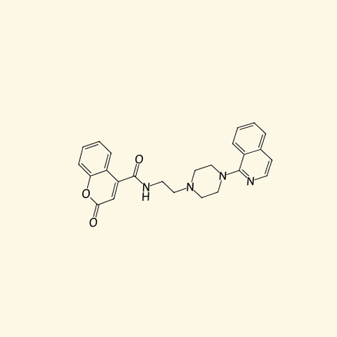 O=C(NCCN1CCN(c2nccc3ccccc23)CC1)c1cc(=O)oc2ccccc12